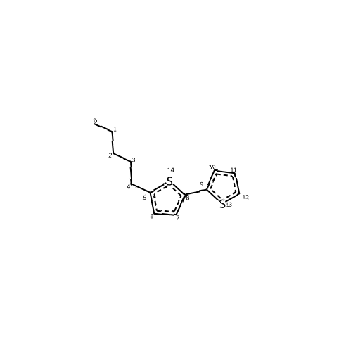 CCCCCc1ccc(-c2cccs2)s1